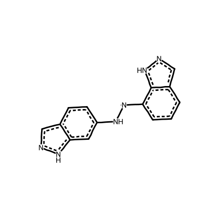 c1cc([N]Nc2ccc3cn[nH]c3c2)c2[nH]ncc2c1